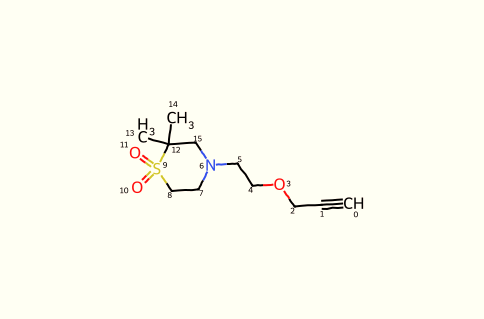 C#CCOCCN1CCS(=O)(=O)C(C)(C)C1